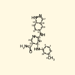 Cc1cccc(Nc2nc(Nc3ccc4[nH]ncc4c3)ncc2C(N)=O)c1